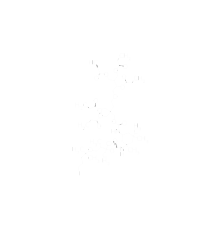 C#CC(=O)OCC(COC(=O)C=C)C(COCCC(COC(=O)C=C)(COC(=O)C=C)COC(=O)NC1CC(C)(C)CC(C)(NC(=O)OC(C)(C)C(C)COC(C)(C)CCCI)C1)OC(=O)C=C